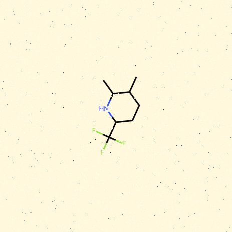 CC1CCC(C(F)(F)F)NC1C